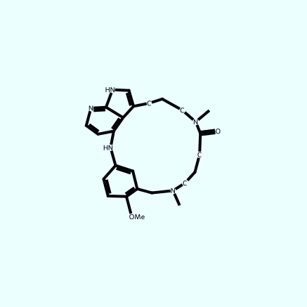 COc1ccc2cc1CN(C)CCCC(=O)N(C)CCCc1c[nH]c3nccc(c13)N2